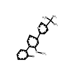 BC(B)(B)c1ccc(-c2ccc(-c3ccccc3Br)c(OC)c2)nc1